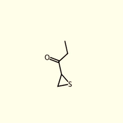 CCC(=O)C1CS1